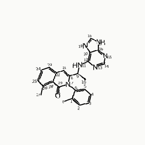 Cc1ccccc1-n1c([C@H](C)Nc2ncnc3[nH]cnc23)cc2cccc(C)c2c1=O